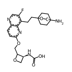 NC12CCC(CCc3c(F)cnc4ccc(OCC5OC[C@@H]5NC(=O)O)nc34)(CC1)OC2